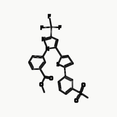 COC(=O)c1cccc(-n2nc(C(F)(F)F)cc2-c2ccc(-c3cccc(S(C)(=O)=O)c3)s2)c1